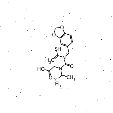 C=C(S)N(Cc1ccc2c(c1)OCO2)C(=O)N(CC(=O)O)C(C)C